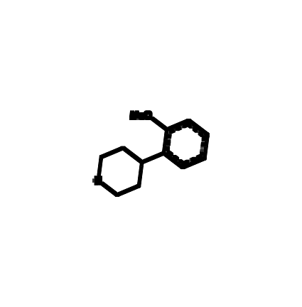 COc1ccccc1C1CC[N]CC1